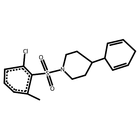 Cc1cccc(Cl)c1S(=O)(=O)N1CCC(C2C=CCC=C2)CC1